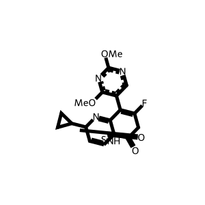 COc1ncc(C2=C(F)CC(=O)C34C(=O)NSC3=CC(C3CC3)N=C24)c(OC)n1